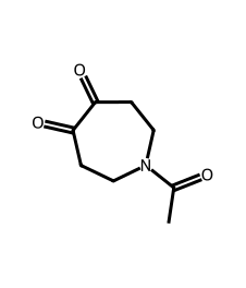 CC(=O)N1CCC(=O)C(=O)CC1